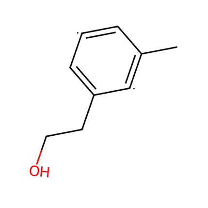 Cc1[c]c(CCO)c[c]c1